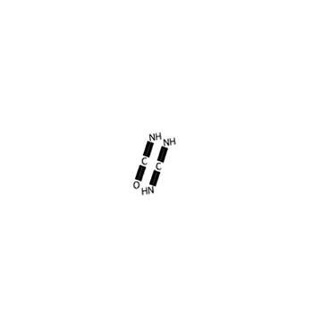 N=C=N.N=C=O